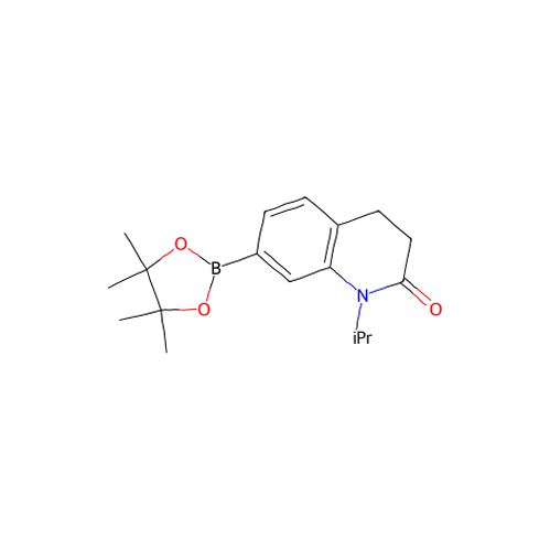 CC(C)N1C(=O)CCc2ccc(B3OC(C)(C)C(C)(C)O3)cc21